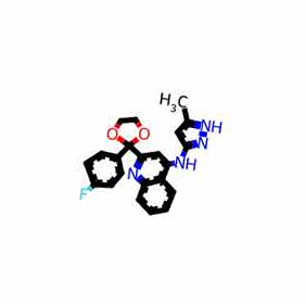 Cc1cc(Nc2cc(C3(c4ccc(F)cc4)OCCO3)nc3ccccc23)n[nH]1